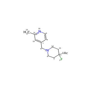 CC(=O)C1(F)CCN(Cc2ccnc(C)c2)CC1